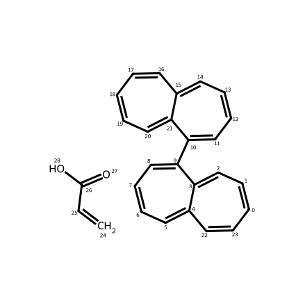 C1=CC=C2C(=CC=CC=C2C2=CC=CC=C3C=CC=CC=C32)C=C1.C=CC(=O)O